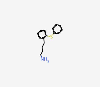 NCCCCc1ccccc1Sc1ccccc1